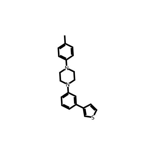 Cc1ccc(N2CCN(c3cccc(-c4ccsc4)c3)CC2)cc1